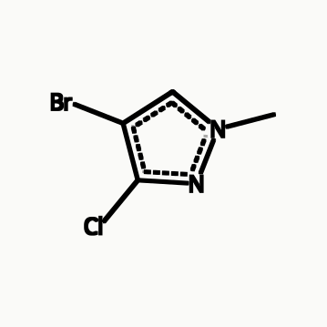 Cn1cc(Br)c(Cl)n1